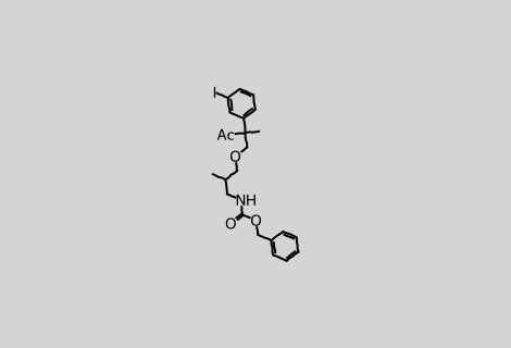 CC(=O)C(C)(COCC(C)CNC(=O)OCc1ccccc1)c1cccc(I)c1